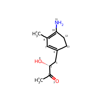 CC(=O)[C@H](O)CC1=CC(C)=C(N)CC1